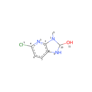 CN1c2nc(Cl)ccc2NC1O